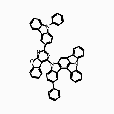 c1ccc(-c2ccc3c(c2)c2c4c5ccccc5n5c6ccccc6c(cc2n3-c2nc(-c3ccc6c(c3)c3ccccc3n6-c3ccccc3)nc3oc6ccccc6c23)c45)cc1